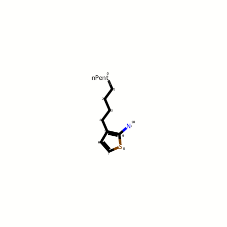 CCCCCCCCCc1ccsc1[N]